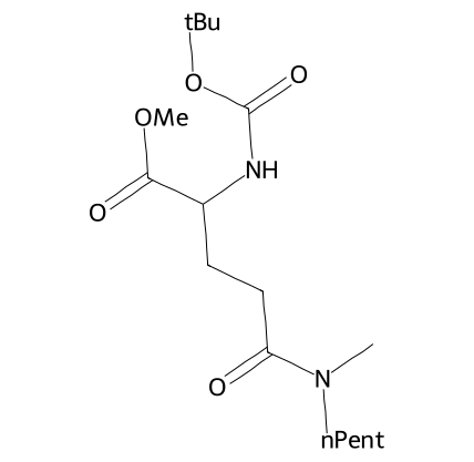 CCCCCN(C)C(=O)CCC(NC(=O)OC(C)(C)C)C(=O)OC